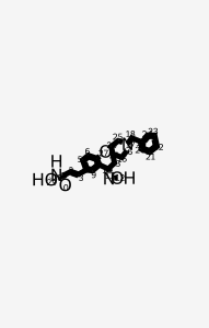 O=C(/C=C/c1ccc2c(c1)/C(=N/O)CC1(CCN(Cc3ccccc3)CC1)O2)NO